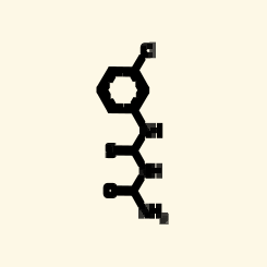 NC(=O)NC(=S)Nc1cccc(Cl)c1